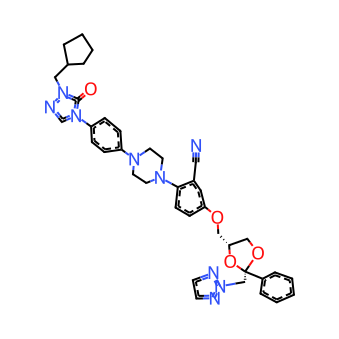 N#Cc1cc(OC[C@@H]2CO[C@@](Cn3nccn3)(c3ccccc3)O2)ccc1N1CCN(c2ccc(-n3cnn(CC4CCCC4)c3=O)cc2)CC1